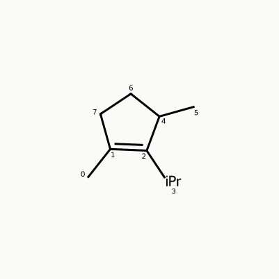 CC1=C(C(C)C)C(C)CC1